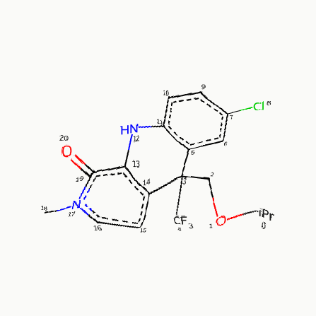 CC(C)OCC1(C(F)(F)F)c2cc(Cl)ccc2Nc2c1ccn(C)c2=O